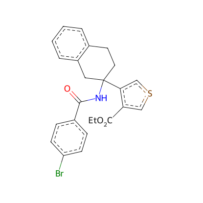 CCOC(=O)c1cscc1C1(NC(=O)c2ccc(Br)cc2)CCc2ccccc2C1